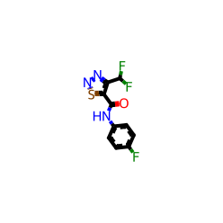 O=C(Nc1ccc(F)cc1)c1snnc1C(F)F